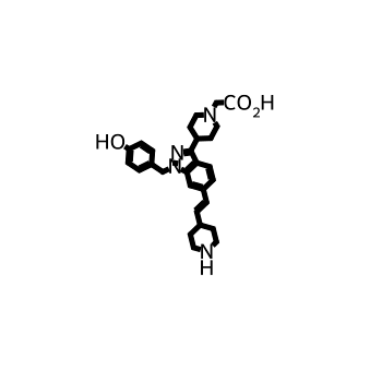 O=C(O)CN1CCC(c2nn(Cc3ccc(O)cc3)c3cc(C=CC4CCNCC4)ccc23)CC1